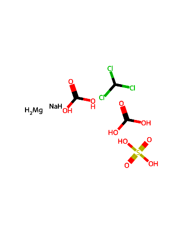 ClC(Cl)Cl.O=C(O)O.O=C(O)O.O=S(=O)(O)O.[MgH2].[NaH]